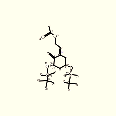 C=C1/C(=C\COC(C)=O)C[C@@H](O[Si](C)(C)C(C)(C)C)C[C@@H]1O[Si](C)(C)C(C)(C)C